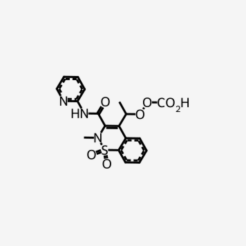 CC(OOC(=O)O)C1=C(C(=O)Nc2ccccn2)N(C)S(=O)(=O)c2ccccc21